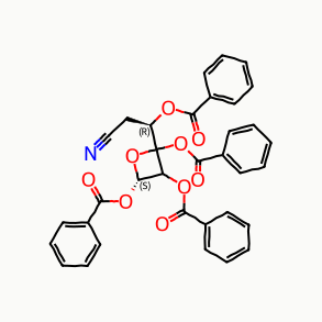 N#CC[C@@H](OC(=O)c1ccccc1)C1(OC(=O)c2ccccc2)O[C@@H](OC(=O)c2ccccc2)C1OC(=O)c1ccccc1